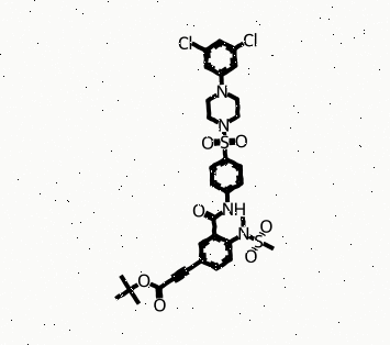 CN(c1ccc(C#CC(=O)OC(C)(C)C)cc1C(=O)Nc1ccc(S(=O)(=O)N2CCN(c3cc(Cl)cc(Cl)c3)CC2)cc1)S(C)(=O)=O